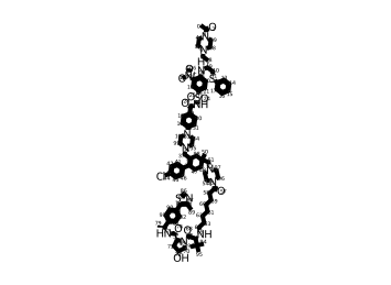 CC(=O)N1CCN(CC[C@H](CSc2ccccc2)Nc2ccc(S(=O)(=O)NC(=O)c3ccc(N4CCN(CC5=C(c6ccc(Cl)cc6)CCC(C)(CN6CCN(C(=O)CCCCCCCN[C@H](C(=O)N7C[C@H](O)C[C@H]7C(=O)N[C@@H](C)c7ccc(-c8scnc8C)cc7)C(C)(C)C)CC6)C5)CC4)cc3)cc2[N+](=O)[O-])CC1